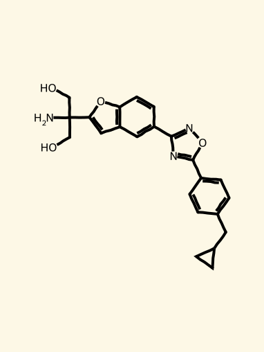 NC(CO)(CO)c1cc2cc(-c3noc(-c4ccc(CC5CC5)cc4)n3)ccc2o1